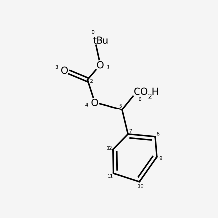 CC(C)(C)OC(=O)OC(C(=O)O)c1ccccc1